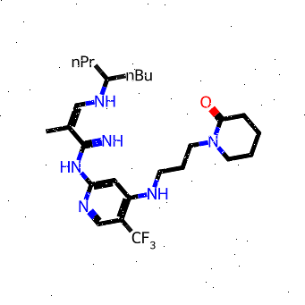 CCCCC(CCC)N/C=C(/C)C(=N)Nc1cc(NCCCN2CCCCC2=O)c(C(F)(F)F)cn1